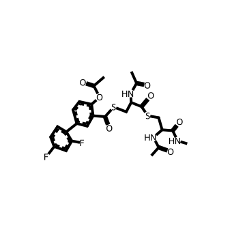 CNC(=O)C(CSC(=O)C(CSC(=O)c1cc(-c2ccc(F)cc2F)ccc1OC(C)=O)NC(C)=O)NC(C)=O